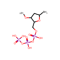 BC1CC(OCCC)C(COP(=O)(O)OP(=O)(O)OP(=O)(O)O)O1